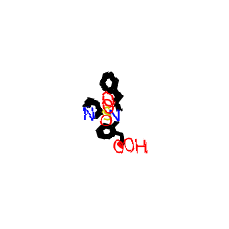 O=C(O)Cc1ccccc1CN(Cc1cc2ccccc2o1)S(=O)(=O)c1cccnc1